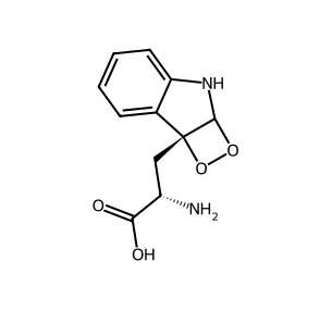 N[C@@H](C[C@]12OOC1Nc1ccccc12)C(=O)O